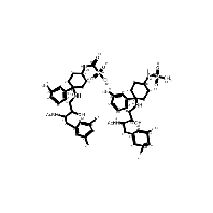 CC(=O)NC(Cc1cc(F)cc(F)c1)C(O)CNC1(c2cccc(C(C)(C)C)c2)CCC(NC(=O)S(C)(=O)=O)CC1.CC(=O)NC(Cc1cc(F)cc(F)c1)C(O)CNC1(c2cccc(C(C)(C)C)c2)CCC(NS(C)(=O)=O)CC1